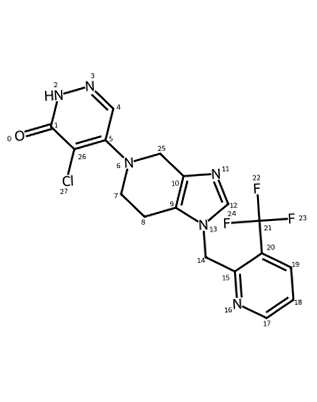 O=c1[nH]ncc(N2CCc3c(ncn3Cc3ncccc3C(F)(F)F)C2)c1Cl